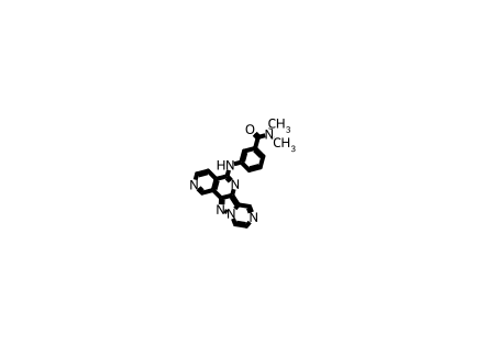 CN(C)C(=O)c1cccc(Nc2nc3c(nn4ccncc34)c3cnccc23)c1